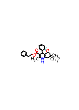 CC1=C(C(=O)OCCc2ccccc2)C(c2ccccc2F)C2=C(CC(C)(C)CC2=O)N1